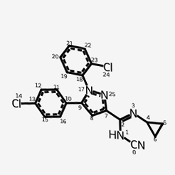 N#CNC(=NC1CC1)c1cc(-c2ccc(Cl)cc2)n(-c2ccccc2Cl)n1